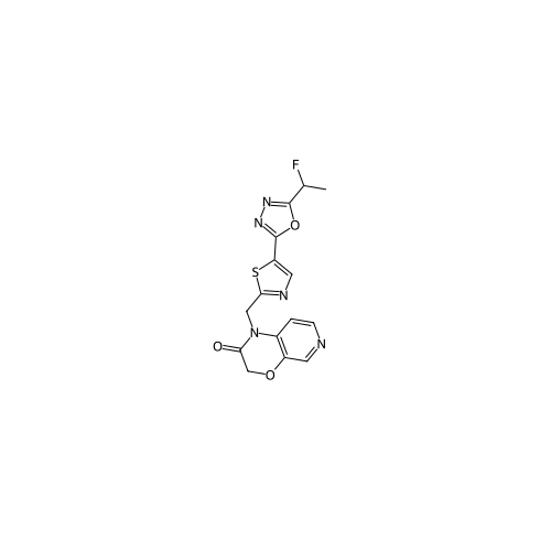 CC(F)c1nnc(-c2cnc(CN3C(=O)COc4cnccc43)s2)o1